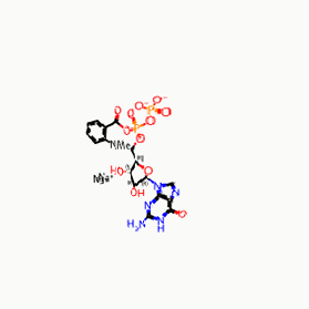 CNc1ccccc1C(=O)OP(=O)(OC[C@H]1O[C@@H](n2cnc3c(=O)[nH]c(N)nc32)[C@H](O)[C@@H]1O)OP(=O)([O-])[O-].[Na+].[Na+]